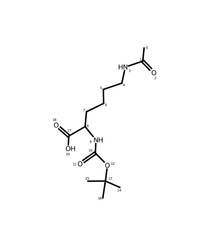 CC(=O)NCCCCC(NC(=O)OC(C)(C)C)C(=O)O